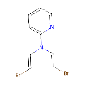 BrC=CN(C=CBr)c1ccccn1